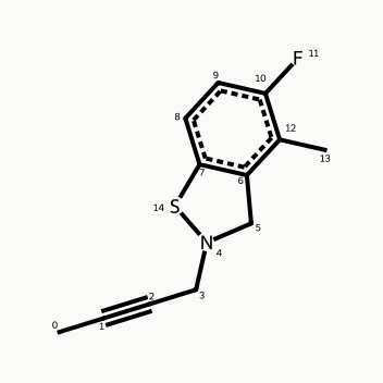 CC#CCN1Cc2c(ccc(F)c2C)S1